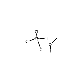 COC.[Cl][Pb]([Cl])([Cl])[Cl]